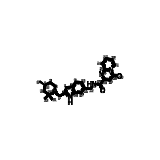 C[C@H]1CCN(Cc2cc3ccc(CNC(=O)c4cc(=O)n5ccccc5n4)cc3[nH]2)C(C)(C)C1